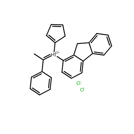 C[C](c1ccccc1)=[Hf+2]([C]1=CC=CC1)[c]1cccc2c1Cc1ccccc1-2.[Cl-].[Cl-]